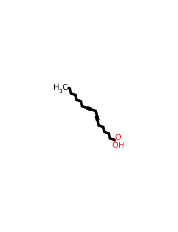 CCCCCCCC#CCC#CCCCCCC(=O)O